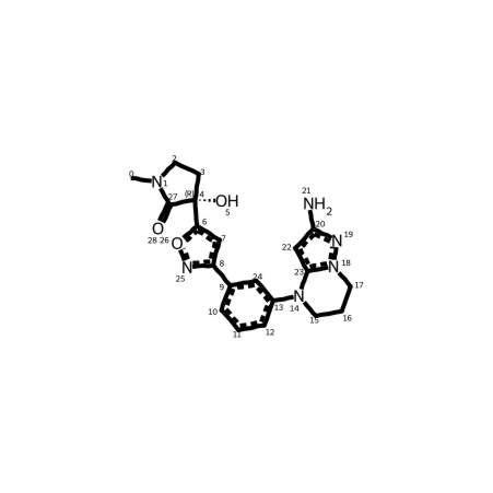 CN1CC[C@@](O)(c2cc(-c3cccc(N4CCCn5nc(N)cc54)c3)no2)C1=O